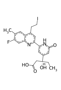 CC[C@@](O)(CC(=O)O)c1cc(-c2cc(CCI)c3cc(C)c(F)cc3n2)[nH]c(=O)c1